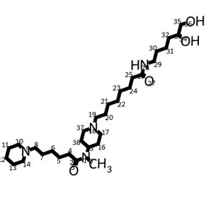 CN(C(=O)CCCCCN1CCCCC1)C1CCN(CCCCCCCC(=O)NCCCCC(O)CO)CC1